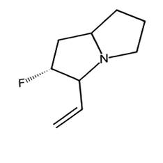 C=CC1[C@H](F)CC2CCCN21